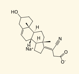 C[C@]12CCC(O)CC1=CC[C@@H]1[C@@H]2CC[C@]2(C)C(=C(C#N)CC(=O)[O-])CC[C@@H]12.[Na+]